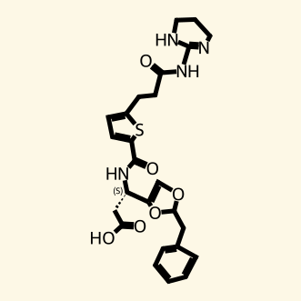 O=C(O)C[C@H](NC(=O)c1ccc(CCC(=O)NC2=NCCCN2)s1)C1=COC(Cc2ccccc2)O1